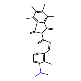 C=C(/C=C\c1cccc(N(C)C)c1C)C1C(=C)c2c(C)c(C)c(C)c(C)c2C1=C